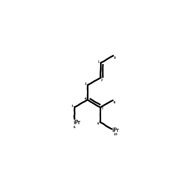 CC=CCC(CC(C)C)=C(C)CC(C)C